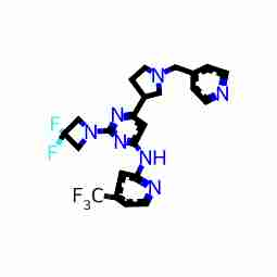 FC1(F)CN(c2nc(Nc3cc(C(F)(F)F)ccn3)cc(C3CCN(Cc4ccncc4)C3)n2)C1